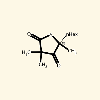 CCCCCC[C@@]1(C)SC(=O)C(C)(C)C1=O